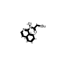 CCN(C(=O)CC(C)(C)C)c1nccc2ccccc12